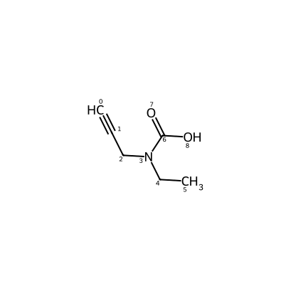 C#CCN(CC)C(=O)O